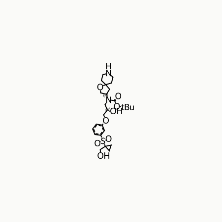 CC(C)(C)OC(=O)N(C[C@H](O)COc1cccc(S(=O)(=O)C2(CO)CC2)c1)[C@H]1COC2(CCNCC2)C1